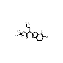 CCCN(C(=O)OC(C)(C)C)c1nc2ccc(Br)c(F)c2s1